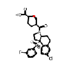 O=C(O)C12CCC(C(=O)N3CCC4(S(=O)(=O)c5cccc(F)c5)c5ccc(Cl)cc5CCC34)(CC1)CC2